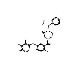 Cc1c(Cc2ccc(F)c(C(=O)N3CCN([C@@H](c4ccccc4)C(F)F)C(=O)C3)c2)n[nH]c(=O)c1C